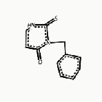 O=c1cc[nH]c(=S)n1Cc1ccccc1